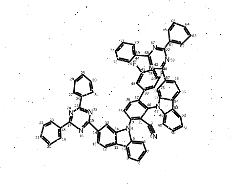 N#Cc1c(-n2c3ccccc3c3ccc(-c4nc(-c5ccccc5)nc(-c5ccccc5)n4)cc32)ccc(-c2cc(F)cc(F)c2)c1-n1c2ccccc2c2ccc(-c3nc(-c4ccccc4)nc(-c4ccccc4)n3)cc21